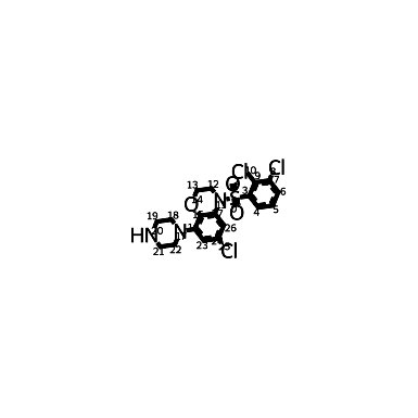 O=S(=O)(c1cccc(Cl)c1Cl)N1CCOc2c(N3CCNCC3)cc(Cl)cc21